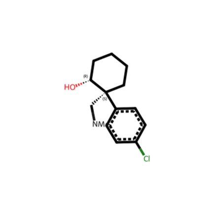 CNC[C@@]1(c2ccc(Cl)cc2)CCCC[C@H]1O